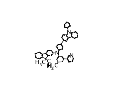 CC1C=C(N(c2ccc(-c3ccc4c(c3)c3ccccc3n4-c3ccccc3)cc2)c2ccc3c(c2)C(C)(C)c2ccccc2-3)C=C(c2cccnc2)C1